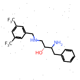 N[C@@H](Cc1ccccc1)[C@H](O)CNCc1cc(C(F)(F)F)cc(C(F)(F)F)c1